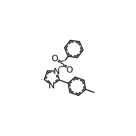 Cc1ccc(-c2n[c]cn2S(=O)(=O)c2ccccc2)cc1